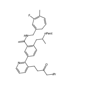 C=C(NCC1=CC(F)=C(C)C=CC1)c1cc(-c2ncccc2CCC(=O)CC(C)C)ccc1CC(C)CCCCC